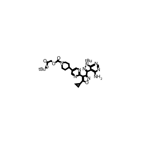 CC(C)(C)OC(=O)COC(=O)N1CCC(c2cnc(-c3c(-c4nn(C(C)(C)C)c5ncnc(N)c45)noc3C3CC3)nc2)CC1